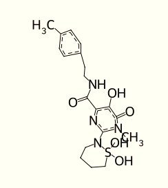 Cc1ccc(CCNC(=O)c2nc(N3CCCCS3(O)O)n(C)c(=O)c2O)cc1